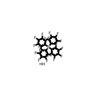 Fc1c(F)c(F)c([B-](c2c(F)c(F)c(F)c(F)c2F)(c2c(F)c(F)c(F)c(F)c2F)c2c(F)c(F)c(F)c(F)c2F)c(F)c1F.[HH]